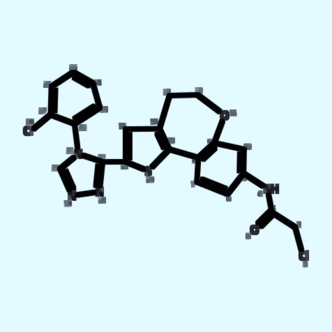 O=C(CCl)Nc1ccc2c(c1)OCCc1cc(-c3nncn3-c3ccccc3Cl)sc1-2